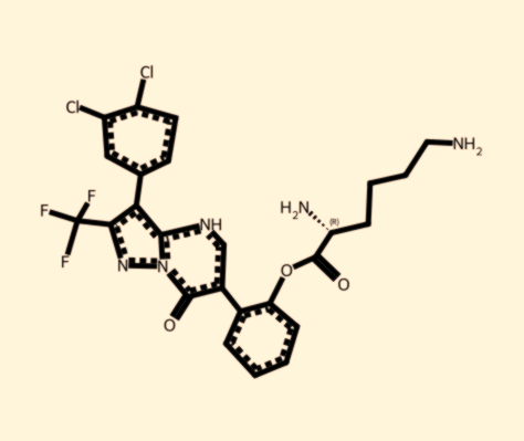 NCCCC[C@@H](N)C(=O)Oc1ccccc1-c1c[nH]c2c(-c3ccc(Cl)c(Cl)c3)c(C(F)(F)F)nn2c1=O